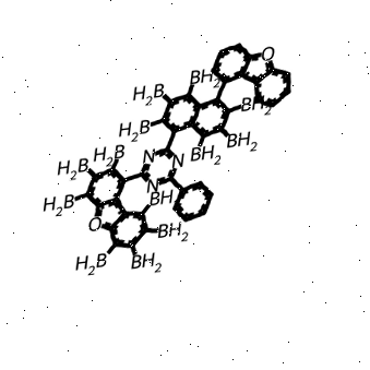 Bc1c(B)c(B)c2c(oc3c(B)c(B)c(B)c(-c4nc(-c5ccccc5)nc(-c5c(B)c(B)c(B)c6c(-c7cccc8oc9ccccc9c78)c(B)c(B)c(B)c56)n4)c32)c1B